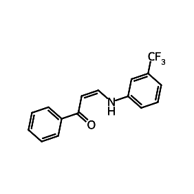 O=C(/C=C\Nc1cccc(C(F)(F)F)c1)c1ccccc1